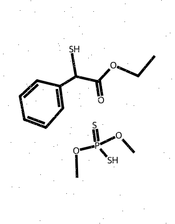 CCOC(=O)C(S)c1ccccc1.COP(=S)(S)OC